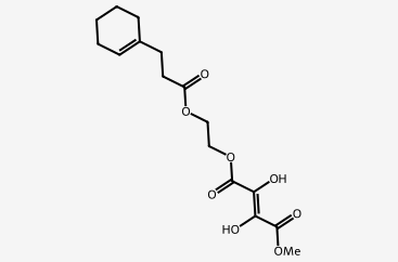 COC(=O)/C(O)=C(\O)C(=O)OCCOC(=O)CCC1=CCCCC1